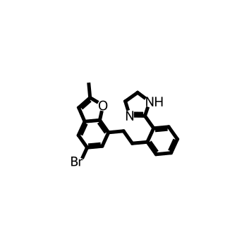 Cc1cc2cc(Br)cc(CCc3ccccc3C3=NCCN3)c2o1